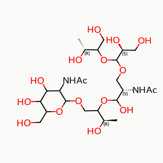 CC(=O)NC1C(OCC(OC(O)[C@H](COC(OC(CO)[C@@H](C)O)[C@@H](O)CO)NC(C)=O)[C@@H](C)O)OC(CO)C(O)C1O